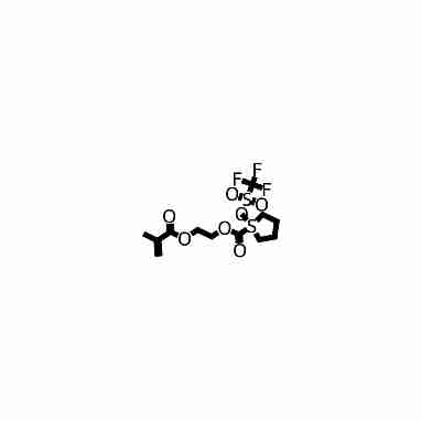 C=C(C)C(=O)OCCOC(=O)S1(OS(=O)(=O)C(F)(F)F)CCCC1